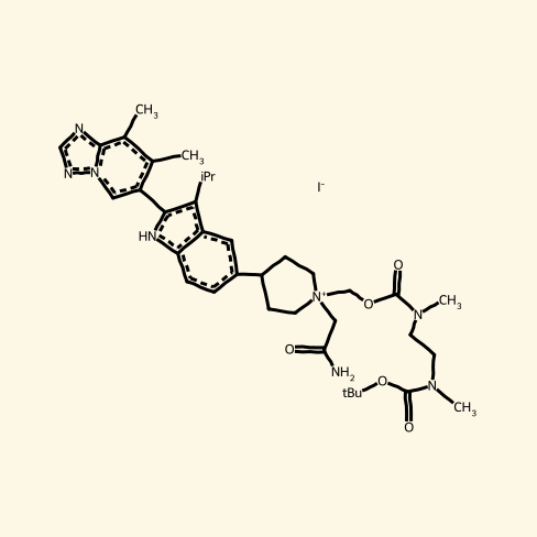 Cc1c(-c2[nH]c3ccc(C4CC[N+](COC(=O)N(C)CCN(C)C(=O)OC(C)(C)C)(CC(N)=O)CC4)cc3c2C(C)C)cn2ncnc2c1C.[I-]